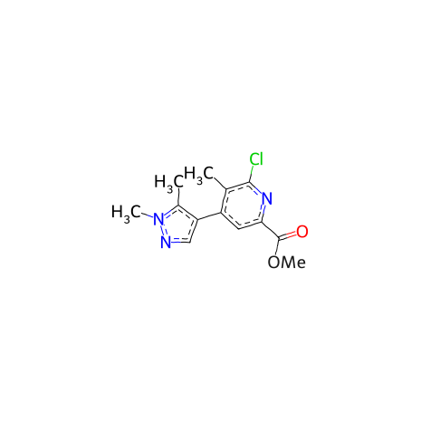 COC(=O)c1cc(-c2cnn(C)c2C)c(C)c(Cl)n1